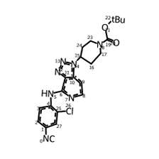 [C-]#[N+]c1ccc(Nc2nccc3c2nnn3C2CCN(C(=O)OC(C)(C)C)CC2)c(Cl)c1